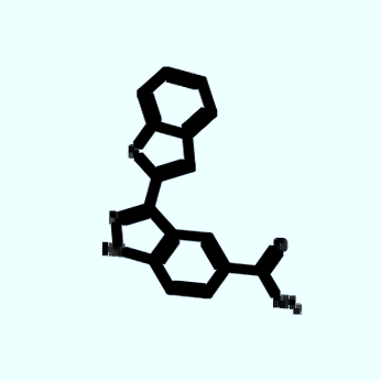 NC(=O)c1ccc2[nH]nc(-c3cc4ccccc4s3)c2c1